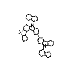 CC1(C)c2ccccc2-c2c1ccc1c2c2cc(-c3ccc4c(c3)c3ccccc3n4-c3cccc4ccccc34)ccc2n1-c1cccc2ccccc12